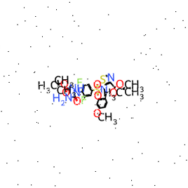 COc1ccc(CN(c2scnc2C(=O)OC(C)(C)C)S(=O)(=O)c2cc(F)c(N(NC(=O)OC(C)(C)C)C(N)=O)c(F)c2)cc1